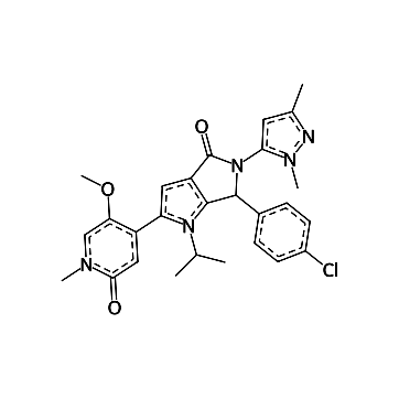 COc1cn(C)c(=O)cc1-c1cc2c(n1C(C)C)C(c1ccc(Cl)cc1)N(c1cc(C)nn1C)C2=O